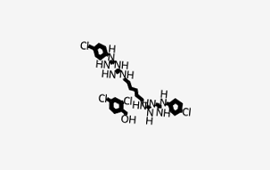 N=C(NCCCCCCNC(=N)NC(=N)Nc1ccc(Cl)cc1)NC(=N)Nc1ccc(Cl)cc1.OCc1ccc(Cl)cc1Cl